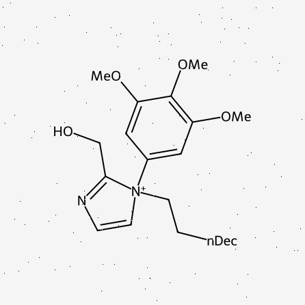 CCCCCCCCCCCC[N+]1(c2cc(OC)c(OC)c(OC)c2)C=CN=C1CO